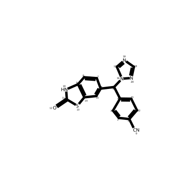 N#Cc1ccc(C(c2ccc3[nH]c(=O)sc3c2)n2cncn2)cc1